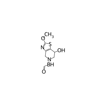 COc1nc2c(s1)C(O)CN(BC=O)C2